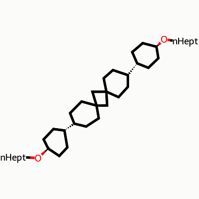 CCCCCCCO[C@H]1CC[C@H](C2CCC3(CC2)CC2(CCC([C@H]4CC[C@H](OCCCCCCC)CC4)CC2)C3)CC1